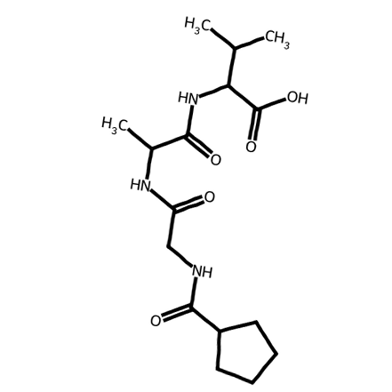 CC(NC(=O)CNC(=O)C1CCCC1)C(=O)NC(C(=O)O)C(C)C